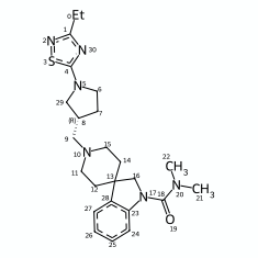 CCc1nsc(N2CC[C@H](CN3CCC4(CC3)CN(C(=O)N(C)C)c3ccccc34)C2)n1